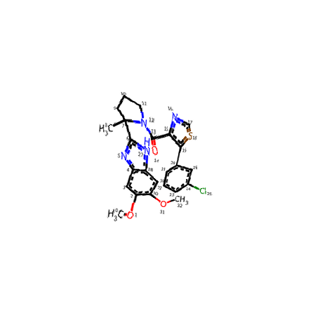 COc1cc2nc(C3(C)CCCN3C(=O)c3ncsc3-c3cccc(Cl)c3)[nH]c2cc1OC